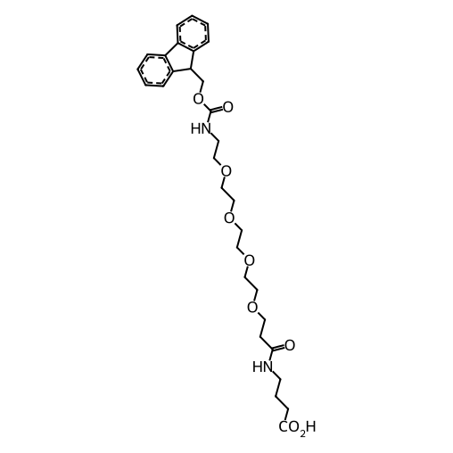 O=C(O)CCCNC(=O)CCOCCOCCOCCOCCNC(=O)OCC1c2ccccc2-c2ccccc21